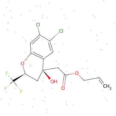 C=CCOC(=O)C[C@]1(O)C[C@@H](C(F)(F)F)Oc2cc(Cl)c(Cl)cc21